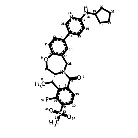 CCc1c(C(=O)N2CCOc3ccc(-c4ccc(NC5CCCC5)nc4)cc3C2)ccc(S(C)(=O)=O)c1F